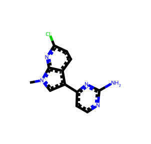 Cn1cc(-c2ccnc(N)n2)c2ccc(Cl)nc21